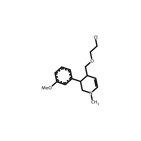 COc1cccc(C2CN(C)C=CC2COCCCl)c1